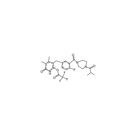 Cc1c(C)c(=O)[nH][n+](OC(=O)C(F)(F)F)c1Cc1ccc(F)c(C(=O)N2CCN(C(=O)C(C)C)CC2)c1